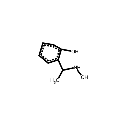 CC(NO)c1ccccc1O